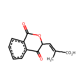 CC(=CC1OC(=O)c2ccccc2C1=O)C(=O)O